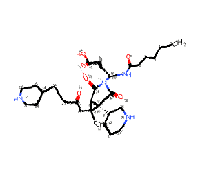 CCCCCC(=O)N[C@H](CC(=O)O)N1C(=O)C2C(C)(CC(=O)CCC3CCNCC3)[C@]2(C2CCCNC2)C1=O